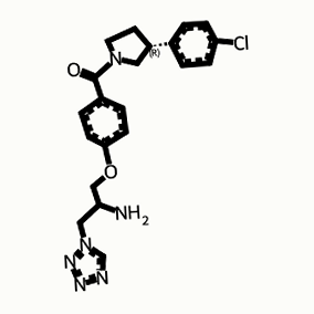 NC(COc1ccc(C(=O)N2CC[C@H](c3ccc(Cl)cc3)C2)cc1)Cn1cnnn1